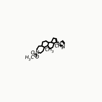 C[C@]12CCN(S(C)(=O)=O)CCC1CCC1C2CC[C@]2(C)C(n3ccnc3)=CCC12